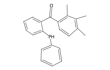 Cc1ccc(C(=O)c2ccccc2Pc2ccccc2)c(C)c1C